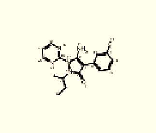 CCC(C)n1c(=O)c(-c2cccc(Cl)c2)c(N)n1-c1ncccn1